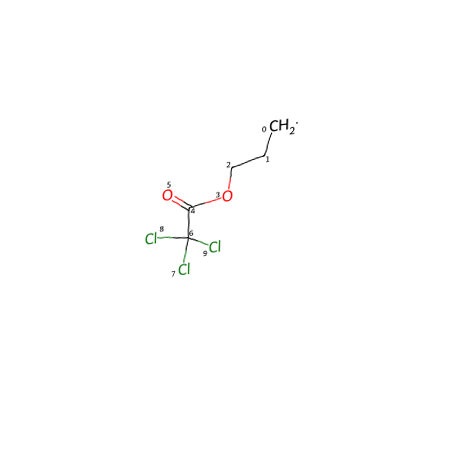 [CH2]CCOC(=O)C(Cl)(Cl)Cl